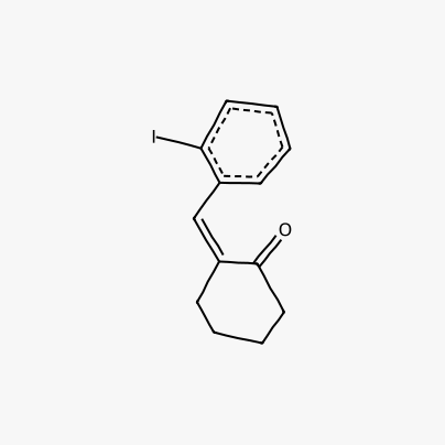 O=C1CCCCC1=Cc1ccccc1I